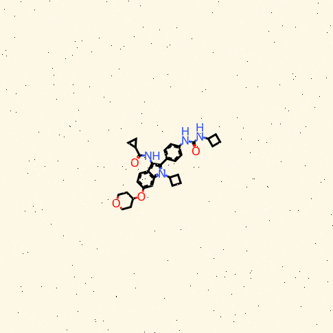 O=C(Nc1ccc(-c2c(NC(=O)C3CC3)c3ccc(OC4CCOCC4)cc3n2C2CCC2)cc1)NC1CCC1